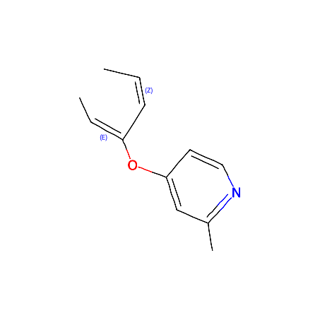 C/C=C\C(=C/C)Oc1ccnc(C)c1